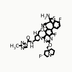 Cc1ncn(C(=O)NC2C[C@H]3COc4c(Cl)c(-c5ccc(F)c6sc(N)c(C#N)c56)c(F)c5nc(OC[C@@]67CCCN6C[C@H](F)C7)nc(c45)N3C2)n1